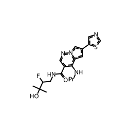 CC(C)Nc1c(C(=O)NCC(F)C(C)(C)O)cnn2cc(-c3cncs3)cc12